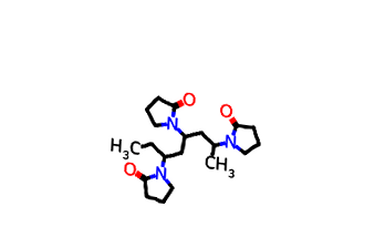 CCC(CC(CC(C)N1CCCC1=O)N1CCCC1=O)N1CCCC1=O